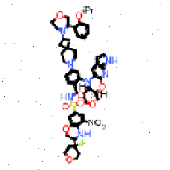 CC(C)Oc1ccccc1[C@@H]1COCCN1C1CC2(CCN(c3ccc(C(=O)NS(=O)(=O)c4cc5c(c([N+](=O)[O-])c4)N[C@H](C4(F)CCOCC4)CO5)c(N4c5cc6cc[nH]c6nc5O[C@H]5COCC[C@@H]54)c3)CC2)C1